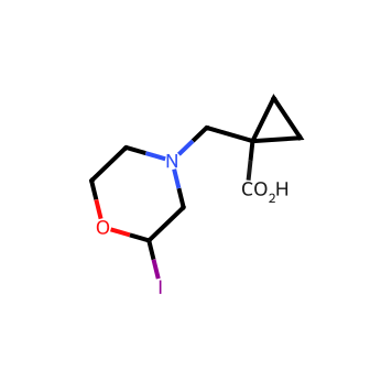 O=C(O)C1(CN2CCOC(I)C2)CC1